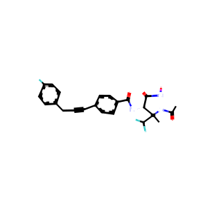 CC(=O)NC(C)(C(F)F)[C@H](NC(=O)c1ccc(C#CCc2ccc(F)cc2)cc1)C(=O)NO